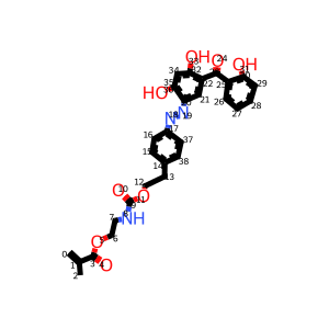 C=C(C)C(=O)OCCNC(=O)OCCc1ccc(N=Nc2cc(C(=O)c3ccccc3O)c(O)cc2O)cc1